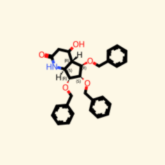 O=C1CC(O)[C@H]2[C@H](N1)[C@@H](OCc1ccccc1)[C@@H](OCc1ccccc1)[C@@H]2OCc1ccccc1